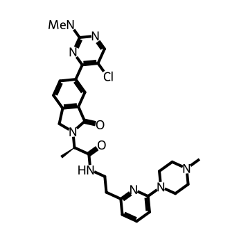 CNc1ncc(Cl)c(-c2ccc3c(c2)C(=O)N([C@H](C)C(=O)NCCc2cccc(N4CCN(C)CC4)n2)C3)n1